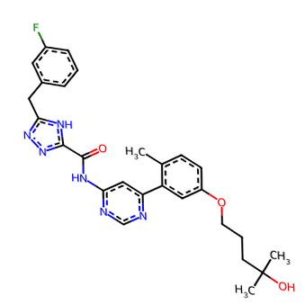 Cc1ccc(OCCCC(C)(C)O)cc1-c1cc(NC(=O)c2nnc(Cc3cccc(F)c3)[nH]2)ncn1